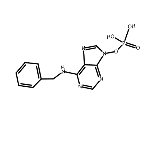 O=P(O)(O)On1cnc2c(NCc3ccccc3)ncnc21